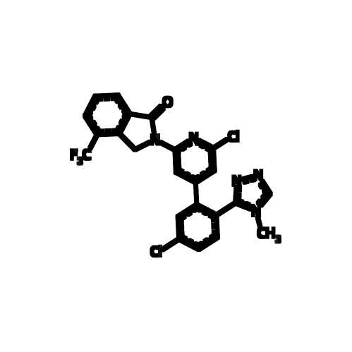 Cn1cnnc1-c1ccc(Cl)cc1-c1cc(Cl)nc(N2Cc3c(cccc3C(F)(F)F)C2=O)c1